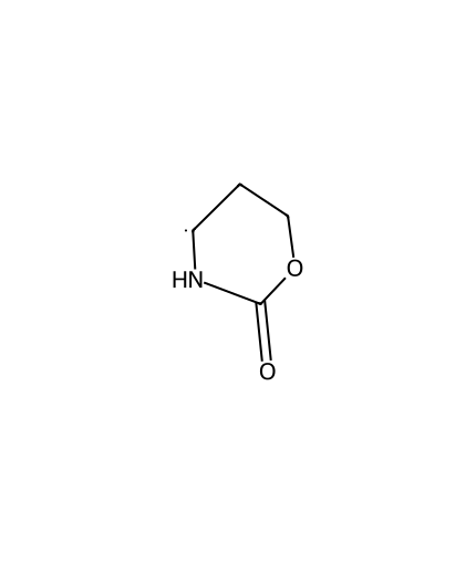 O=C1N[CH]CCO1